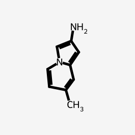 Cc1ccn2cc(N)cc2c1